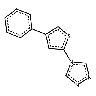 c1ccc(-c2csc(-n3cnnc3)c2)cc1